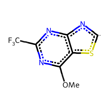 COc1nc(C(F)(F)F)nc2n[c]sc12